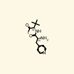 CC(C)(C)[C@H](NC(=O)[C@@H](N)Cc1ccncc1)C(=O)I